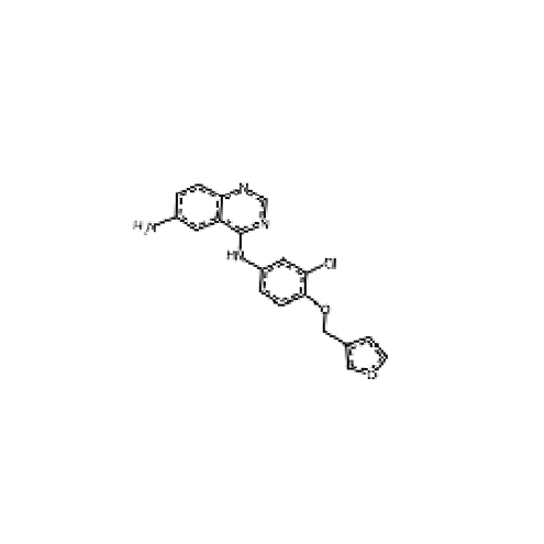 Nc1ccc2ncnc(Nc3ccc(OCc4ccoc4)c(Cl)c3)c2c1